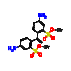 C=C(c1ccc(N)cc1S(=O)(=O)OC(C)C)c1ccc(N)cc1S(=O)(=O)OC(C)C